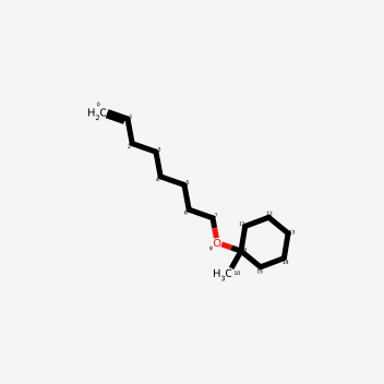 C=CCCCCCCOC1(C)CCCCC1